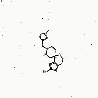 CCc1cc2c(s1)CCO[C@@]21CCN(Cc2cnn(C)c2)[C@@H](C)C1